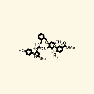 COC(=O)c1ccc(C)c(-n2c(C)cc(OCc3ccccc3CNC(=O)Nc3cc(C(C)(C)C)nn3-c3ccc(O)cc3)c(Cl)c2=O)c1